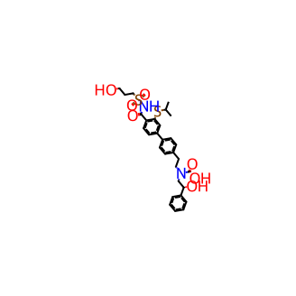 CC(C)Sc1cc(-c2ccc(CCN(C[C@@H](O)c3ccccc3)C(=O)O)cc2)ccc1C(=O)NS(=O)(=O)CCCO